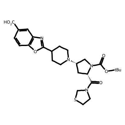 CC(C)(C)OC(=O)N1C[C@@H](N2CCC(c3nc4cc(C(=O)O)ccc4o3)CC2)C[C@H]1C(=O)N1CCSC1